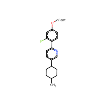 CCCCCOc1ccc(-c2ccc(C3CCC(C)CC3)cn2)c(F)c1